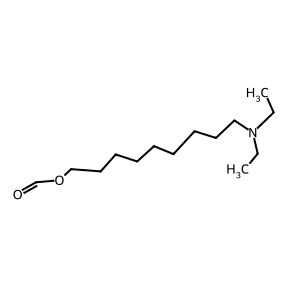 CCN(CC)CCCCCCCCCOC=O